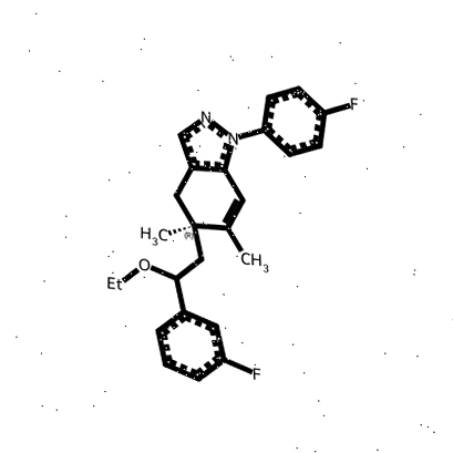 CCOC(C[C@@]1(C)Cc2cnn(-c3ccc(F)cc3)c2C=C1C)c1cccc(F)c1